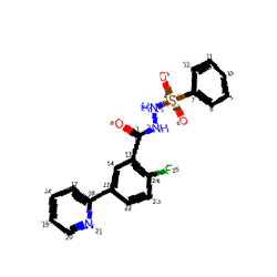 O=C(NNS(=O)(=O)c1ccccc1)c1cc(-c2ccccn2)ccc1F